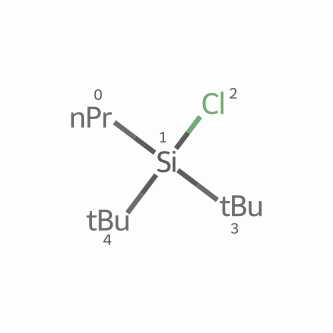 CCC[Si](Cl)(C(C)(C)C)C(C)(C)C